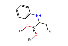 CCO[SiH](OCC)C(CC(C)C)Nc1ccccc1